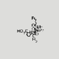 CCCN(C(=O)N[C@@H](C)c1cccc(C(=O)O)c1)C(=O)N(O)C(=O)CCCC(C)C